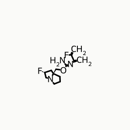 C=C(F)C(=C)/N=C(\N)OC[C@@]12CCCN1C[C@H](F)C2